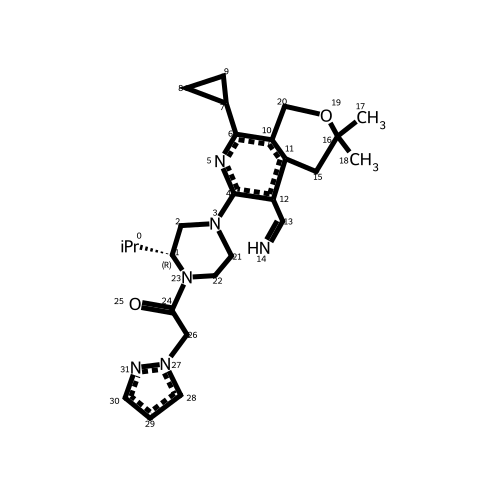 CC(C)[C@@H]1CN(c2nc(C3CC3)c3c(c2C=N)CC(C)(C)OC3)CCN1C(=O)Cn1cccn1